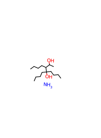 CCCCC(C(C)O)C(O)(CCCC)CCCC.N